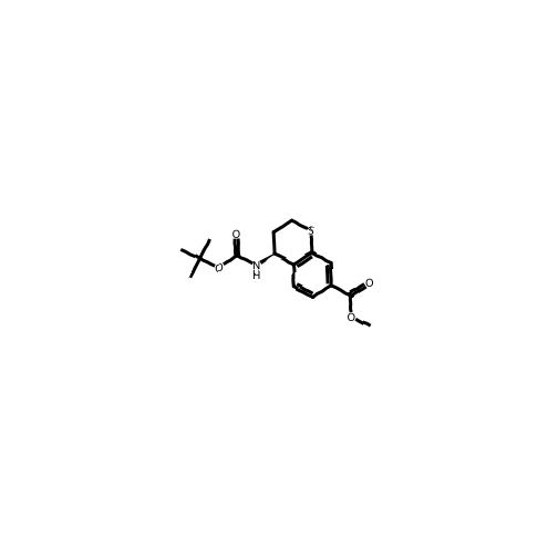 COC(=O)c1ccc2c(c1)SCC[C@@H]2NC(=O)OC(C)(C)C